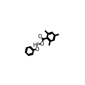 Cc1cc(C)c(C(=O)OPOc2ccccc2)c(C)c1